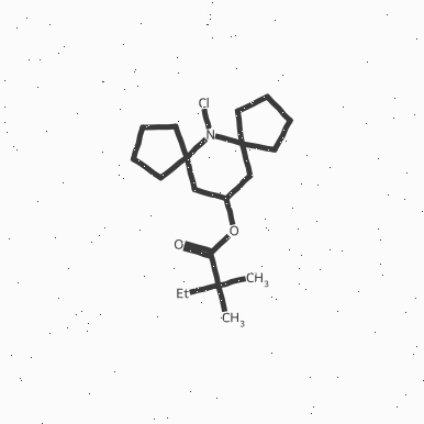 CCC(C)(C)C(=O)OC1CC2(CCCC2)N(Cl)C2(CCCC2)C1